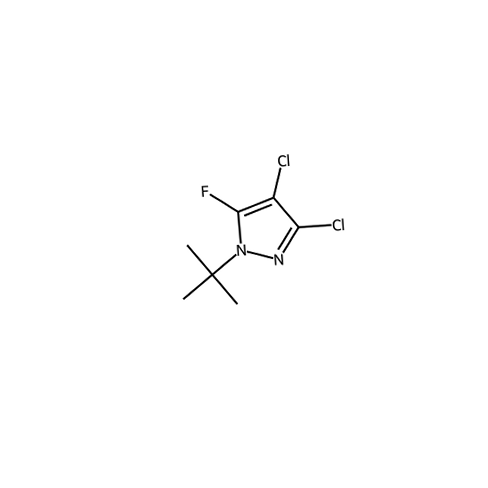 CC(C)(C)n1nc(Cl)c(Cl)c1F